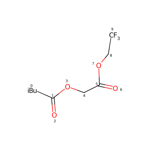 CCC(C)C(=O)OCC(=O)OCC(F)(F)F